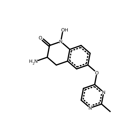 Cc1nccc(Oc2ccc3c(c2)CC(N)C(=O)N3O)n1